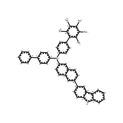 [2H]c1c([2H])c([2H])c(-c2ccc(N(c3ccc(-c4ccccc4)cc3)c3ccc4cc(-c5ccc6sc7ccccc7c6c5)ccc4c3)cc2)c([2H])c1[2H]